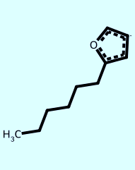 CCCCCCc1c[c]co1